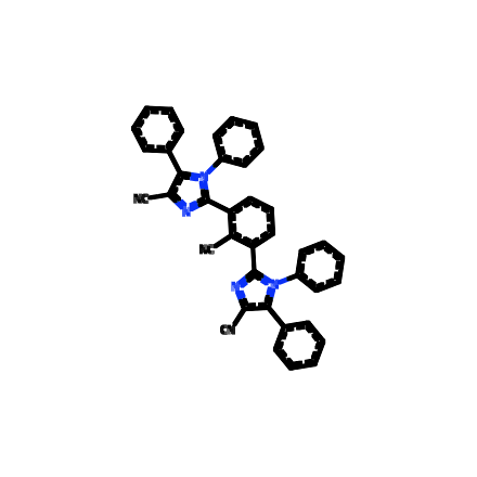 [C-]#[N+]c1nc(-c2cccc(-c3nc(C#N)c(-c4ccccc4)n3-c3ccccc3)c2C#N)n(-c2ccccc2)c1-c1ccccc1